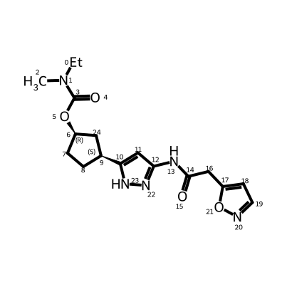 CCN(C)C(=O)O[C@@H]1CC[C@H](c2cc(NC(=O)Cc3ccno3)n[nH]2)C1